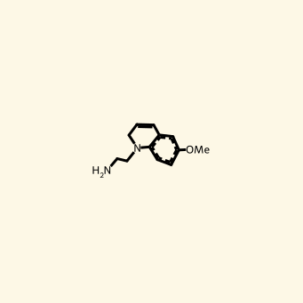 COc1ccc2c(c1)C=CCN2CCN